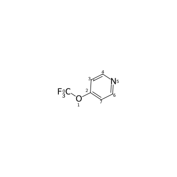 FC(F)(F)Oc1[c]cncc1